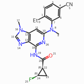 CCc1ccc(C#N)cc1N(C)c1cc2c(ncn2C)c(NC(=O)[C@H]2C[C@H]2F)n1